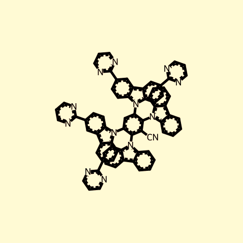 N#Cc1c(-n2c3ccccc3c3ccccc32)c(-n2c3ccc(-c4ncccn4)cc3c3cc(-c4ncccn4)ccc32)cc(-n2c3ccc(-c4ncccn4)cc3c3cc(-c4ncccn4)ccc32)c1-n1c2ccccc2c2ccccc21